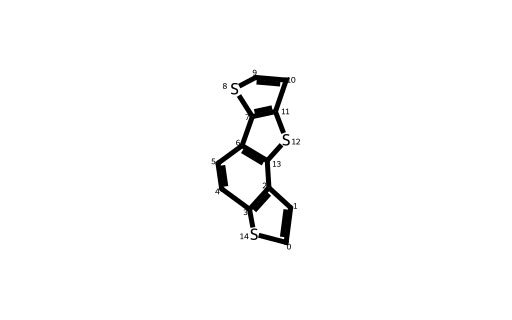 c1cc2c(ccc3c4sccc4sc23)s1